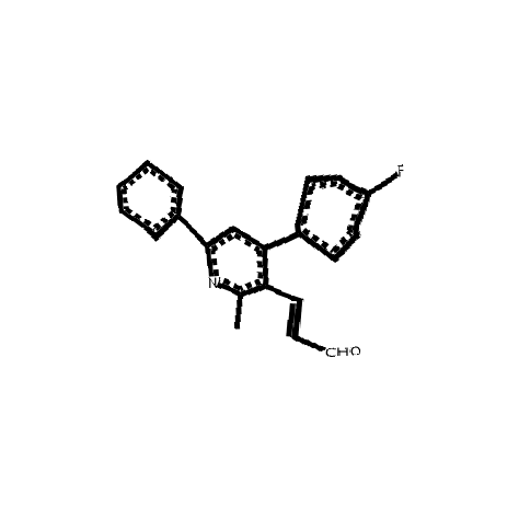 Cc1nc(-c2ccccc2)cc(-c2ccc(F)cc2)c1C=CC=O